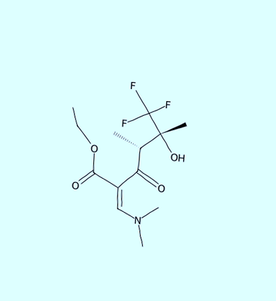 CCOC(=O)C(=CN(C)C)C(=O)[C@H](C)[C@@](C)(O)C(F)(F)F